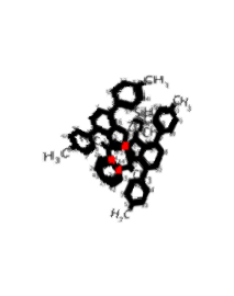 Cc1ccc(-c2ccc(-c3ccc(C)cc3)c3c2C=C(CC(C)c2ccccc2)[CH]3[Zr]([CH3])([CH3])(=[SiH2])[CH]2C(CC(C)c3ccccc3)=Cc3c(-c4ccc(C)cc4)ccc(-c4ccc(C)cc4)c32)cc1